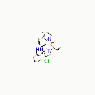 C=CC(=O)N1CC[C@](Nc2ccc3c(C)ccnc3c2)(c2c(C)cccc2Cl)C1